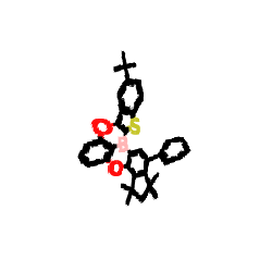 CC(C)(C)c1ccc2sc3c(c2c1)Oc1cccc2c1B3c1cc(-c3ccccc3)c3c(c1O2)C(C)(C)CC3(C)C